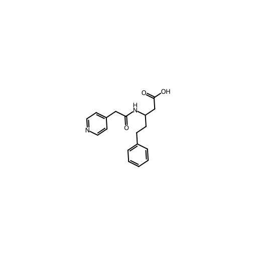 O=C(O)CC(CCc1ccccc1)NC(=O)Cc1ccncc1